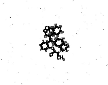 C=CC(=O)Oc1ccccc1/C(=C(\CC)c1ccccc1Cl)c1ccc2scnc2c1